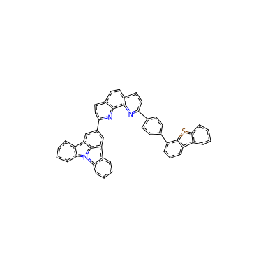 c1ccc2c(c1)sc1c(-c3ccc(-c4ccc5ccc6ccc(-c7cc8c9ccccc9n9c%10ccccc%10c(c7)c89)nc6c5n4)cc3)cccc12